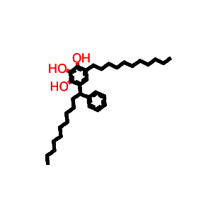 CCCCCCCCCCCc1cc(C(CCCCCCCCCC)c2ccccc2)c(O)c(O)c1O